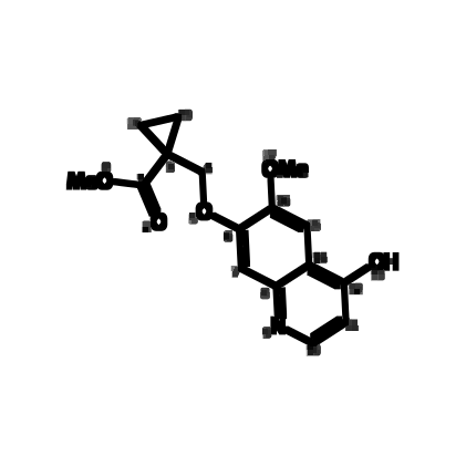 COC(=O)C1(COc2cc3nccc(O)c3cc2OC)CC1